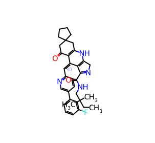 CCC(C)(C)CNC(=O)C1=NCC2=C1/C(=C\c1ccc(-c3cccc(F)c3)cn1)C1=C(CC3(CCCC3)CC1=O)N2